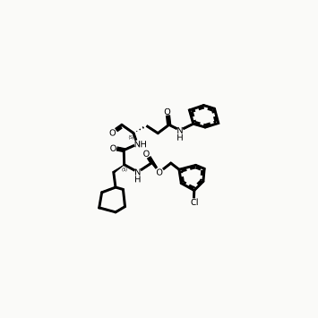 O=C[C@H](CCC(=O)Nc1ccccc1)NC(=O)[C@H](CC1CCCCC1)NC(=O)OCc1cccc(Cl)c1